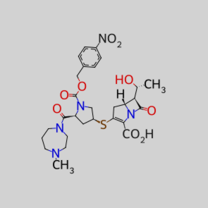 C[C@@H](O)[C@H]1C(=O)N2C(C(=O)O)=C(S[C@H]3C[C@@H](C(=O)N4CCCN(C)CC4)N(C(=O)OCc4ccc([N+](=O)[O-])cc4)C3)C[C@H]12